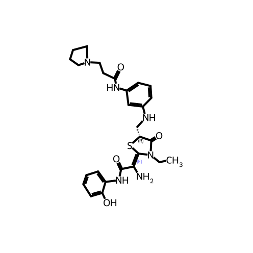 CCN1C(=O)[C@@H](CNc2cccc(NC(=O)CCN3CCCC3)c2)S/C1=C(/N)C(=O)Nc1ccccc1O